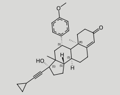 COc1ccc([C@H]2CC3(C)[C@@H](CC[C@@]3(O)C#CC3CC3)[C@@H]3CCC4=CC(=O)CC[C@]4(C)C23)cc1